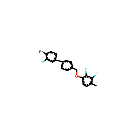 CCc1ccc(-c2ccc(COc3ccc(C)c(F)c3F)cc2)cc1F